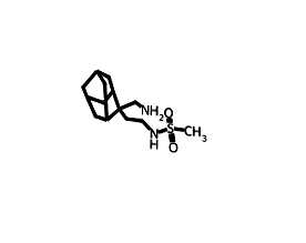 CS(=O)(=O)NCCC1(CN)C2CC3CC(C2)CC1C3